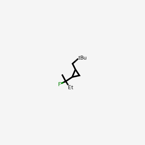 CCC(C)(F)C1CC1CC(C)(C)C